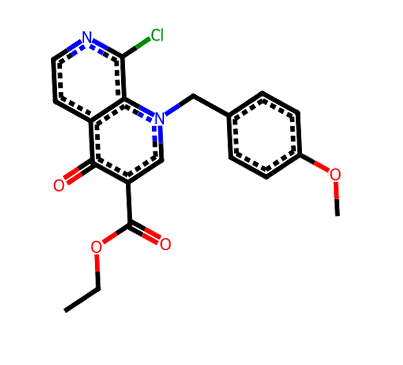 CCOC(=O)c1cn(Cc2ccc(OC)cc2)c2c(Cl)nccc2c1=O